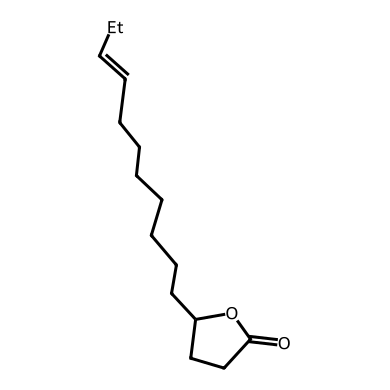 CC/C=C/CCCCCCCC1CCC(=O)O1